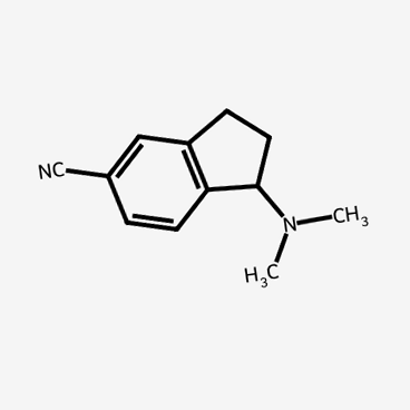 CN(C)C1CCc2cc(C#N)ccc21